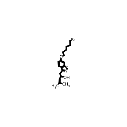 CC(C)=CC(O)Cc1nsc2cc(OCCCCCCBr)ccc12